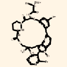 CCn1c(-c2cccnc2C(C)C)c2c3cc(ccc31)-c1cc(O)cc(c1)C[C@H](NC(=O)[C@@H](NC)C(C)C)C(=O)N1CCC[C@H](N1)C(=O)OCC(C)(C)C2